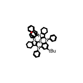 CC(C)(C)c1cc2c3c(c1)N(c1ccccc1)c1c4c(n(-c5ccc6ccccc6c5)c1B3c1c(c3c(n1-c1ccccc1)CCCC3)N2c1ccccc1)CCCC4